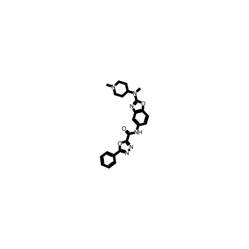 CN1CCC(N(C)c2nc3cc(NC(=O)c4nnc(-c5ccccc5)o4)ccc3o2)CC1